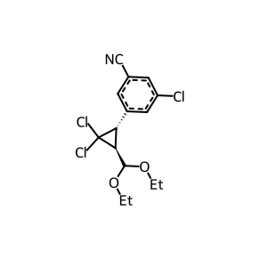 CCOC(OCC)[C@@H]1[C@@H](c2cc(Cl)cc(C#N)c2)C1(Cl)Cl